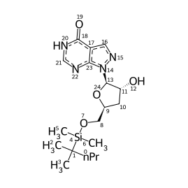 CCCC(C)(C)[Si](C)(C)OC[C@@H]1C[C@@H](O)[C@H](n2ncc3c(=O)[nH]cnc32)O1